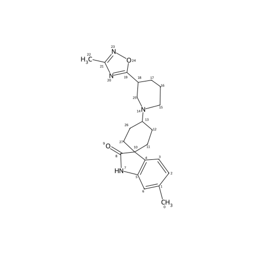 Cc1ccc2c(c1)NC(=O)C21CCC(N2CCCC(c3nc(C)no3)C2)CC1